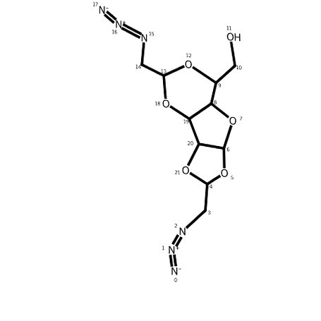 [N-]=[N+]=NCC1OC2OC3C(CO)OC(CN=[N+]=[N-])OC3C2O1